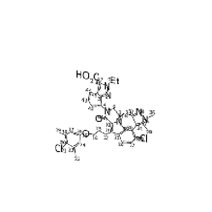 CCn1nc2c(N3C[C@@H](C)n4c(c(CCCOc5cc(C)c(Cl)c(C)c5)c5ccc(Cl)c(-c6c(C)nn(C)c6C)c54)C3=O)cccc2c1C(=O)O